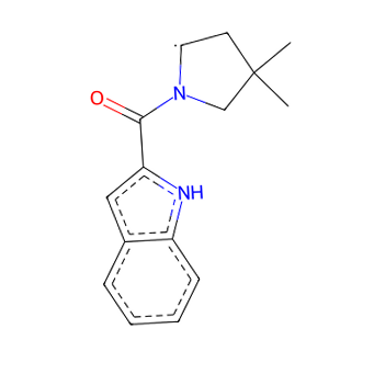 CC1(C)C[CH]N(C(=O)c2cc3ccccc3[nH]2)C1